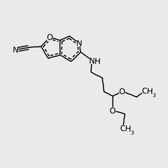 CCOC(CCCNc1cc2cc(C#N)oc2cn1)OCC